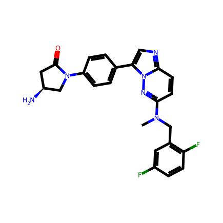 CN(Cc1cc(F)ccc1F)c1ccc2ncc(-c3ccc(N4C[C@@H](N)CC4=O)cc3)n2n1